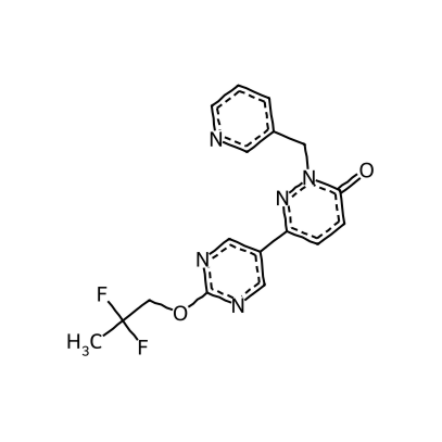 CC(F)(F)COc1ncc(-c2ccc(=O)n(Cc3cccnc3)n2)cn1